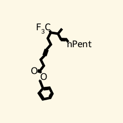 CCCCC/C=C/C(C)C(CCC#CCCC(=O)OCc1ccccc1)C(F)(F)F